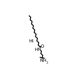 CCCCCCCCCCCCCCCC(=O)NCCCC(C)(C)N.I